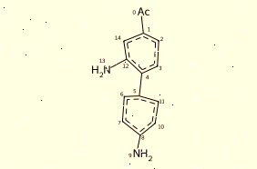 CC(=O)c1ccc(-c2ccc(N)cc2)c(N)c1